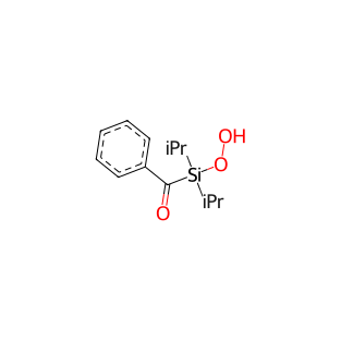 CC(C)[Si](OO)(C(=O)c1ccccc1)C(C)C